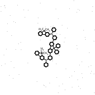 CC1(C)c2ccccc2-c2ccc(N(c3ccccc3)c3cccc(-c4ccc5c(c4)C(c4ccccc4)(c4ccccc4)c4cc(-c6cccc(N(c7ccccc7)c7ccc8c(c7)C(C)(C)c7ccccc7-8)c6)ccc4-5)c3)cc21